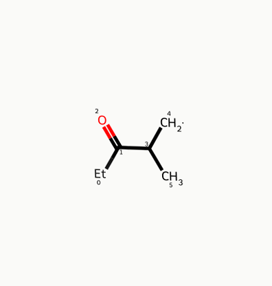 [CH2]CC(=O)C([CH2])C